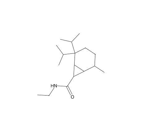 CCNC(=O)C1C2C(C)CCC(C(C)C)(C(C)C)C12